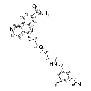 N#CCc1cc(F)cc(CNCCCCOCCOc2nc3cc(C(N)=O)ccc3c3cnccc23)c1